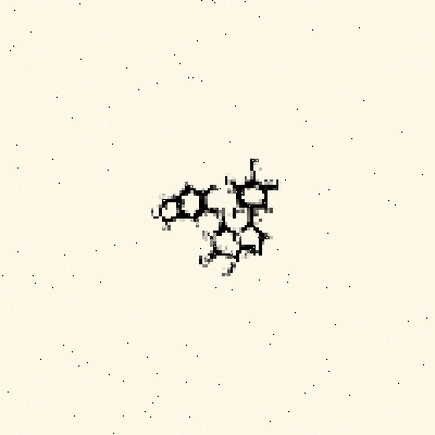 Cc1cc2c(cc1NC1=NC(=O)N(C)C3=NCC(c4cc(F)c(F)c(F)c4)N13)COC2